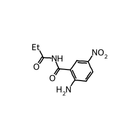 CCC(=O)NC(=O)c1cc([N+](=O)[O-])ccc1N